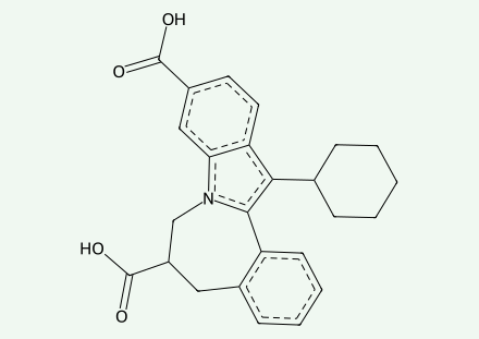 O=C(O)c1ccc2c(C3CCCCC3)c3n(c2c1)CC(C(=O)O)Cc1ccccc1-3